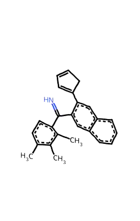 Cc1ccc(C(=N)c2cc3ccccc3cc2C2=CC=CC2)c(C)c1C